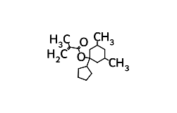 C=C(C)C(=O)OC1(C2CCCC2)CC(C)CC(C)C1